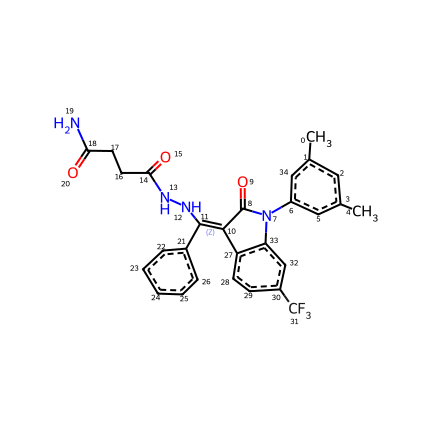 Cc1cc(C)cc(N2C(=O)/C(=C(\NNC(=O)CCC(N)=O)c3ccccc3)c3ccc(C(F)(F)F)cc32)c1